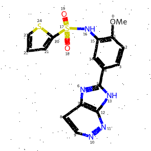 COc1ccc(-c2nc3ccnnc3[nH]2)cc1NS(=O)(=O)c1cccs1